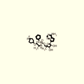 C[C@H](N[P@](=O)(OC[C@@]1(C)O[C@@H](c2ccc3c(N)ncnn23)[C@H](O)[C@@H]1O)Oc1ccccc1)C(=O)OC1CCC(F)(F)CC1